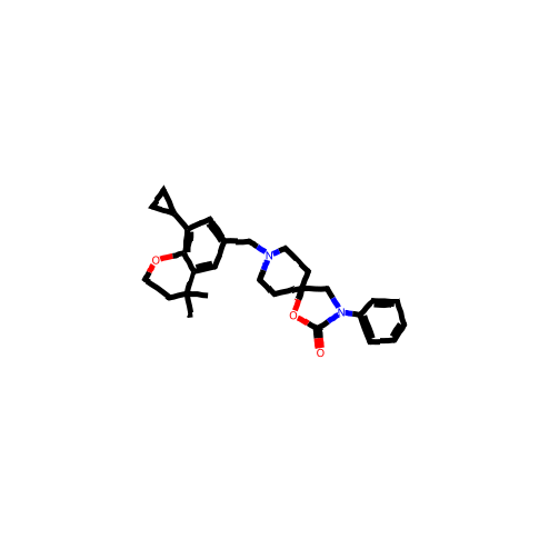 CC1(C)CCOc2c(C3CC3)cc(CN3CCC4(CC3)CN(c3ccccc3)C(=O)O4)cc21